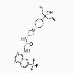 C=CCC(O)(CC=C)[C@H]1CC[C@H](N2CC(NC(=O)CNc3ncnc4ccc(C(F)(F)F)cc34)C2)CC1